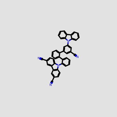 N#Cc1cc(-c2ccccc2-c2ccccc2-n2c3ccc(C#N)cc3c3cc(C#N)ccc32)cc(-n2c3ccccc3c3ccccc32)c1